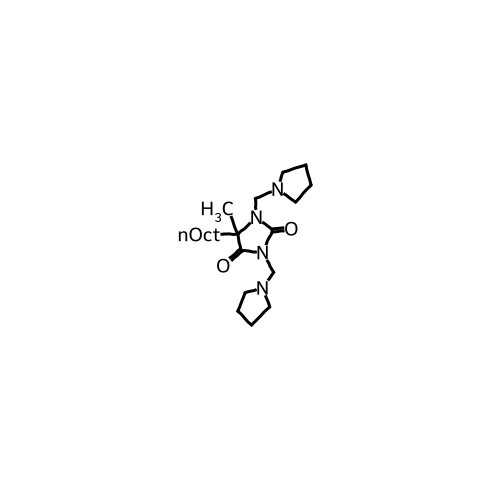 CCCCCCCCC1(C)C(=O)N(CN2CCCC2)C(=O)N1CN1CCCC1